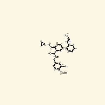 COc1ccc(CNC(=O)c2cc(-c3ccccc3/C=C/C(C)=O)cnc2OCC2CC2)cc1F